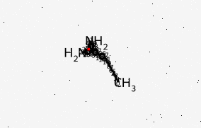 CCCCCCCCCCCCC1CCC(C2CCC(c3ccc(N)cc3)(c3ccc(N)cc3)CC2)CC1